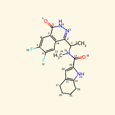 CC(c1n[nH]c(=O)c2cc(F)c(F)cc12)N(C)C(=O)c1cc2c([nH]1)CCCC2